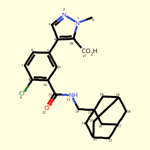 Cn1ncc(-c2ccc(Cl)c(C(=O)NCC34CC5CC(CC(C5)C3)C4)c2)c1C(=O)O